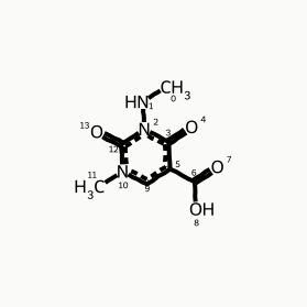 CNn1c(=O)c(C(=O)O)cn(C)c1=O